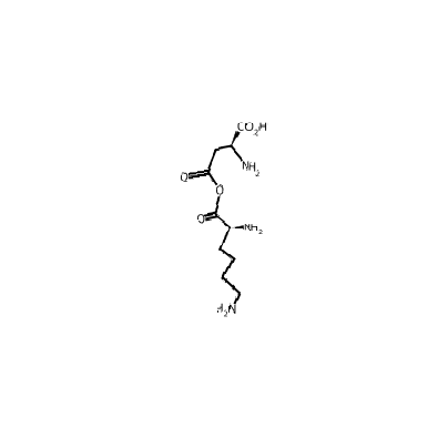 NCCCC[C@H](N)C(=O)OC(=O)C[C@H](N)C(=O)O